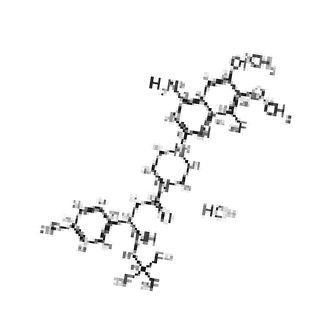 COc1cc2c(N)nc(N3CCN(C(=O)C[C@@H](NCC(F)(F)F)c4ccc(F)cc4)CC3)nc2c(F)c1OC.Cl